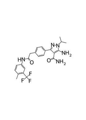 Cc1ccc(NC(=O)Cc2ccc(-c3nn(C(C)C)c(N)c3C(N)=O)cc2)cc1C(F)(F)F